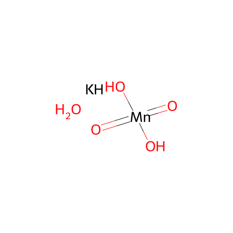 O.[KH].[O]=[Mn](=[O])([OH])[OH]